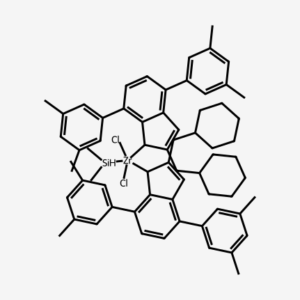 Cc1cc(C)cc(-c2ccc(-c3cc(C)cc(C)c3)c3c2C=C(CC2CCCCC2)[CH]3[Zr]([Cl])([Cl])([CH]2C(CC3CCCCC3)=Cc3c(-c4cc(C)cc(C)c4)ccc(-c4cc(C)cc(C)c4)c32)[SiH](C)C)c1